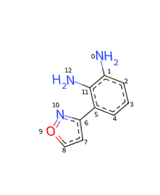 Nc1cccc(-c2ccon2)c1N